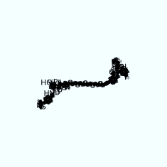 Cc1ncsc1-c1ccc(CNC(=O)[C@@H]2C[C@@H](O)CN2C(=O)C(c2cc(OCCOCCOCCOCCOCC#Cc3ccc4c(c3)C(=O)N(C(C(=O)Nc3nccs3)c3cc(F)ccc3O)C4)no2)C(C)C)cc1